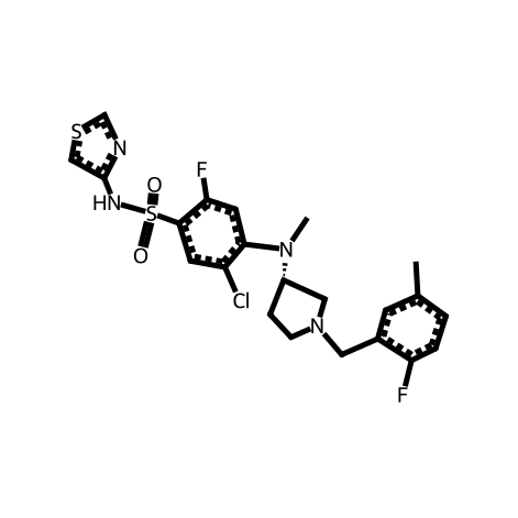 Cc1ccc(F)c(CN2CC[C@H](N(C)c3cc(F)c(S(=O)(=O)Nc4cscn4)cc3Cl)C2)c1